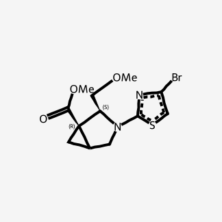 COC[C@H]1N(c2nc(Br)cs2)CC2C[C@@]21C(=O)OC